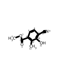 COC(=O)c1ccc(C#N)c(O)c1C